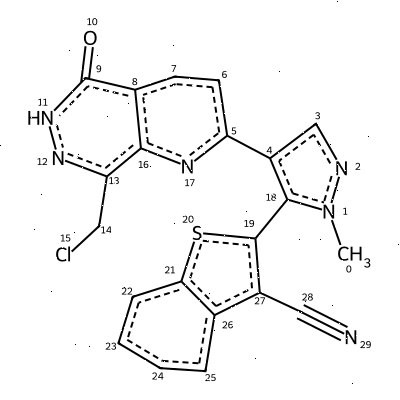 Cn1ncc(-c2ccc3c(=O)[nH]nc(CCl)c3n2)c1-c1sc2ccccc2c1C#N